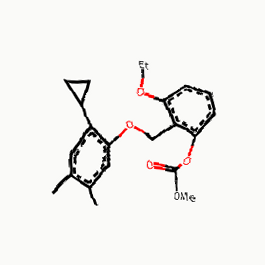 CCOc1cccc(OC(=O)OC)c1COc1cc(C)c(C)cc1C1CC1